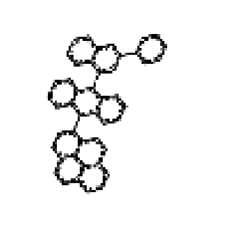 c1ccc(-c2cc(-c3c4ccccc4c(-c4ccc5ccc6cccc7ccc4c5c67)c4ccccc34)c3ccccc3c2)cc1